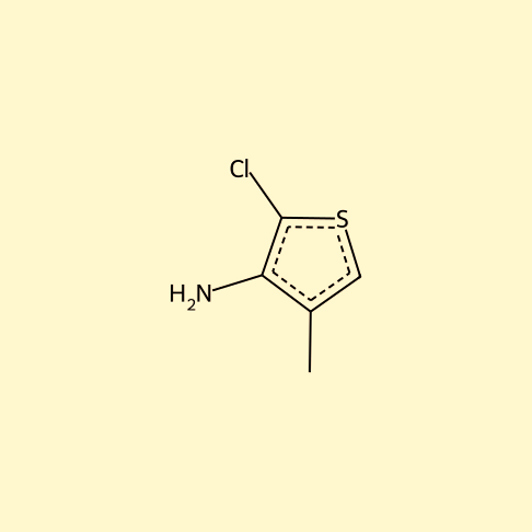 Cc1csc(Cl)c1N